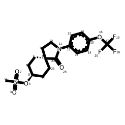 CS(=O)(=O)O[C@H]1CC[C@@]2(CCN(c3ccc(OC(F)(F)F)cc3)C2=O)CC1